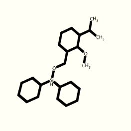 COC1C(CO[SiH](C2CCCCC2)C2CCCCC2)CCCC1C(C)C